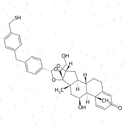 C[C@]12C=CC(=O)C=C1CC[C@@H]1[C@@H]2[C@@H](O)C[C@@]2(C)[C@H]1C[C@H]1O[C@@H](c3ccc(Cc4ccc(CS)cc4)cc3)O[C@]12C(=O)CO